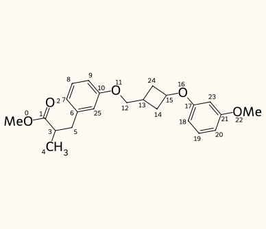 COC(=O)C(C)Cc1cccc(OCC2CC(Oc3cccc(OC)c3)C2)c1